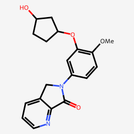 COc1ccc(N2Cc3cccnc3C2=O)cc1OC1CCC(O)C1